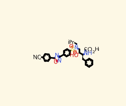 CC(C)CN(C[C@@H](O)[C@H](Cc1ccccc1)NC(=O)O)S(=O)(=O)c1ccc(-c2noc(-c3ccc(C#N)cc3)n2)cc1